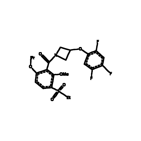 CCS(=O)(=O)c1ccc(OC(C)C)c(C(=O)N2CC(Oc3cc(F)c(F)cc3F)C2)c1OC